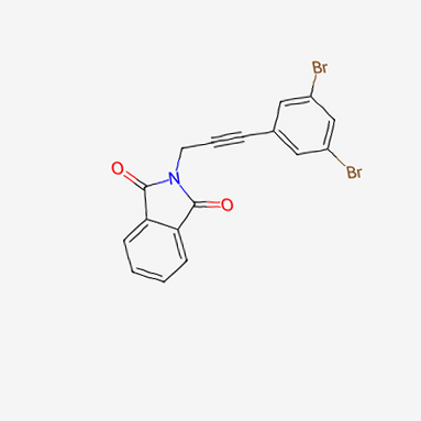 O=C1c2ccccc2C(=O)N1CC#Cc1cc(Br)cc(Br)c1